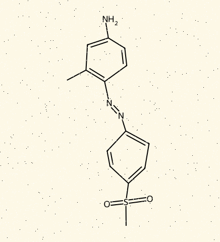 Cc1cc(N)ccc1/N=N/c1ccc(S(C)(=O)=O)cc1